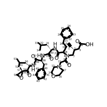 C#C[C@H](CC(=O)O)CN(C(=O)CN1CCOCC1)C(CCc1ccccc1)C(=O)N[C@@H](CC(C)C)C(=O)N[C@@H](Cc1ccccc1)C(=O)N[C@@H](CC(C)C)C(=O)[C@@]1(C)CO1